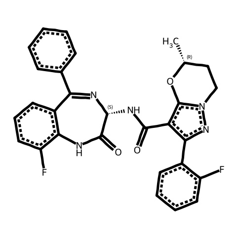 C[C@@H]1CCn2nc(-c3ccccc3F)c(C(=O)N[C@H]3N=C(c4ccccc4)c4cccc(F)c4NC3=O)c2O1